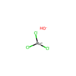 [Cl][Ru+]([Cl])[Cl].[OH-]